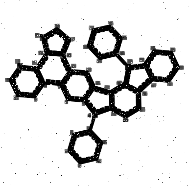 c1ccc(-n2c3cc4c5cccnc5c5nccn5c4cc3c3c2ccc2c4ccccc4n(-c4ccccc4)c23)cc1